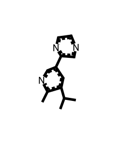 Cc1ncc(-c2cnccn2)cc1C(C)C